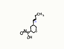 CC/C=C/C1CSCC(P(O)N=O)C1